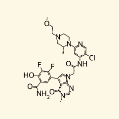 COCCN1CCN(c2cc(NC(=O)Cn3cc(-c4cc(C(N)=O)c(O)c(F)c4F)c4c(=O)n(C)cnc43)c(Cl)cn2)[C@@H](C)C1